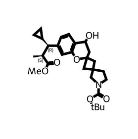 COC(=O)[C@@H](C)[C@H](c1ccc2c(c1)OC1(CC2O)CC2(CCN(C(=O)OC(C)(C)C)C2)C1)C1CC1